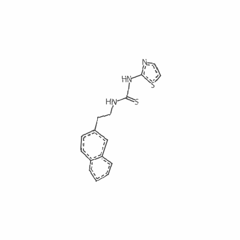 S=C(NCCc1ccc2ccccc2c1)Nc1nccs1